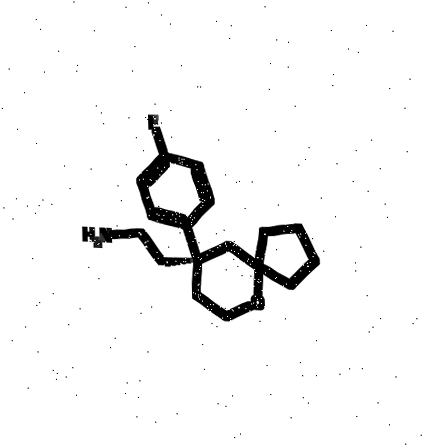 NCC[C@@]1(c2ccc(F)cc2)CCOC2(CCCC2)C1